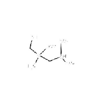 CO[SiH](C[Si](C)(CO)OC)OC